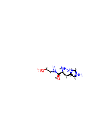 N[C@@H](Cc1c[nH]cn1)C(=O)NCCO